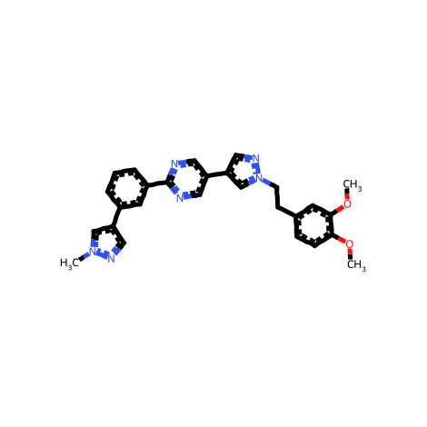 COc1ccc(CCn2cc(-c3cnc(-c4cccc(-c5cnn(C)c5)c4)nc3)cn2)cc1OC